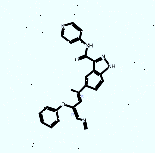 C=N/C=C(\C=C(/C)c1ccc2[nH]nc(C(=O)Nc3ccncc3)c2c1)Oc1ccccc1